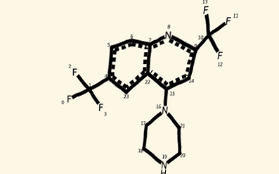 FC(F)(F)c1ccc2nc(C(F)(F)F)cc(N3CCNCC3)c2c1